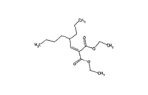 CCCCC(C=C(C(=O)OCC)C(=O)OCC)CCC